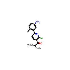 COC(OC)C(=O)c1ccc(-c2cc(N)ccc2C)nc1F